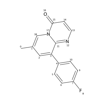 Cc1cc(-c2ccc(F)cc2)c2nccc(=O)n2c1